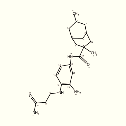 CC1CC2CC(C1)CC(C)(C(=O)Nc1ccc(NCCC(N)=O)c(N)c1)C2